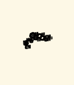 C[C@@]1(O)CC[C@H]2[C@H](CC[C@@H]3[C@@H]2CC[C@]2(C)[C@@H](C(=O)Cn4cc(C#N)cn4)CCCC[C@@H]32)C1